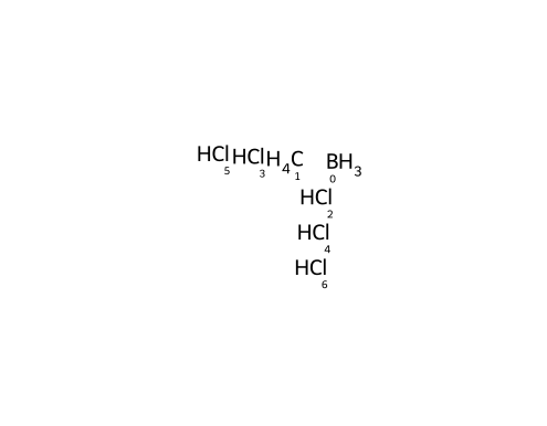 B.C.Cl.Cl.Cl.Cl.Cl